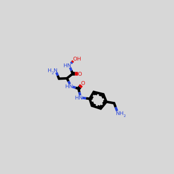 NCc1ccc(NC(=O)NC(CN)C(=O)NO)cc1